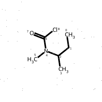 CCC(C)N(C)C(=O)Cl